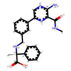 CNC(=O)c1nc(-c2cccc(CN[C@](C)(C(=O)O)c3ccccc3)c2)cnc1N